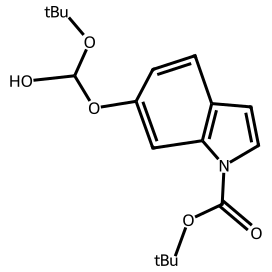 CC(C)(C)OC(=O)n1ccc2ccc(OC(O)OC(C)(C)C)cc21